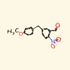 COc1ccc(Cc2ccc([N+](=O)[O-])c(C=O)c2)cc1